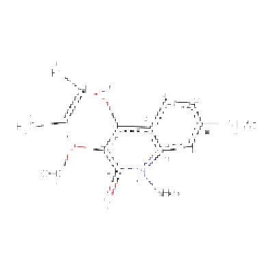 CC=C(CC)Oc1c(OC=O)c(=O)n(CCCCCC)c2cc(NC(C)=O)ccc12